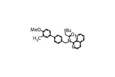 COc1ccc(-c2ccc(CN(C(=O)CC(C)(C)C)c3nccc4cccnc34)cc2)cc1C